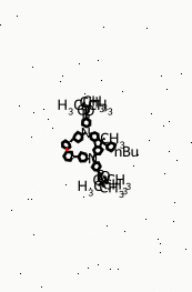 CCCCc1ccc(C2(C)c3ccc(N(c4ccc(B5OC(C)(C)C(C)(C)O5)cc4)c4ccc(-c5ccccc5)cc4)cc3-c3cc(N(c4ccc(B5OC(C)(C)C(C)(C)O5)cc4)c4ccc(-c5ccccc5)cc4)ccc32)cc1